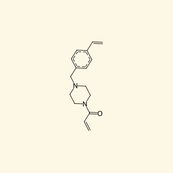 C=CC(=O)N1CCN(Cc2ccc(C=C)cc2)CC1